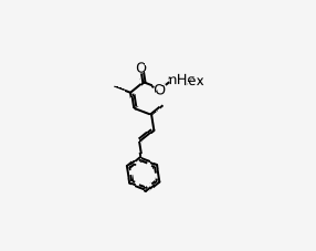 CCCCCCOC(=O)C(C)=CC(C)C=Cc1ccccc1